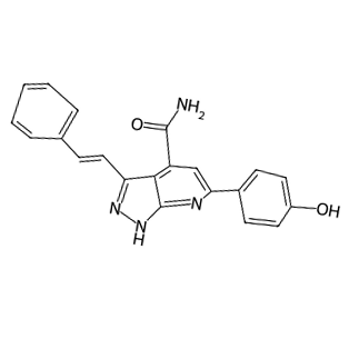 NC(=O)c1cc(-c2ccc(O)cc2)nc2[nH]nc(C=Cc3ccccc3)c12